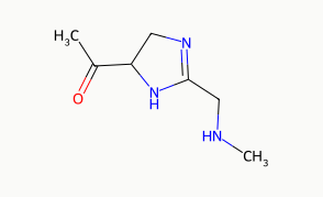 CNCC1=NCC(C(C)=O)N1